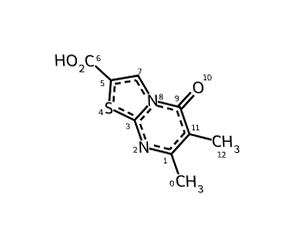 Cc1nc2sc(C(=O)O)cn2c(=O)c1C